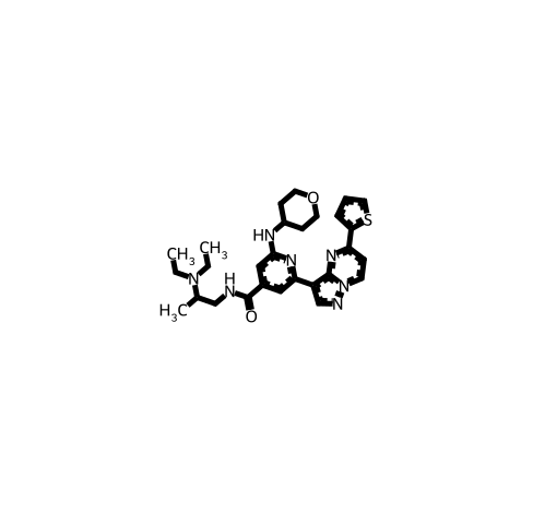 CCN(CC)C(C)CNC(=O)c1cc(NC2CCOCC2)nc(-c2cnn3ccc(-c4cccs4)nc23)c1